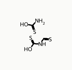 NC(O)=S.OC(=S)NC=S